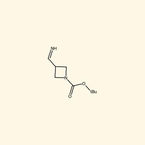 CC(C)(C)OC(=O)N1CC(C=N)C1